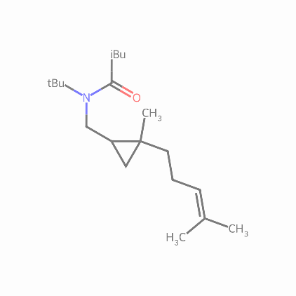 CCC(C)C(=O)N(CC1CC1(C)CCC=C(C)C)C(C)(C)C